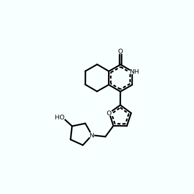 O=c1[nH]cc(-c2ccc(CN3CCC(O)C3)o2)c2c1CCCC2